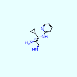 N=C/C(N)=C(\Nc1ccccn1)C1CC1